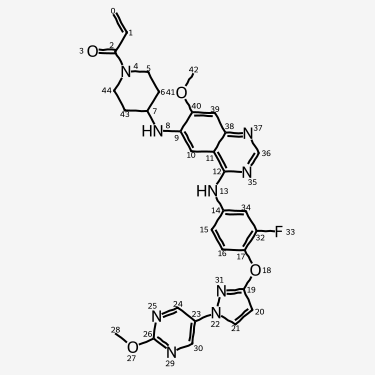 C=CC(=O)N1CCC(Nc2cc3c(Nc4ccc(Oc5ccn(-c6cnc(OC)nc6)n5)c(F)c4)ncnc3cc2OC)CC1